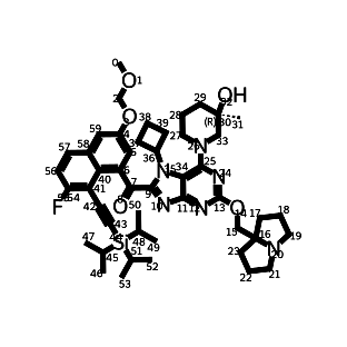 COCOc1cc(C(=O)c2nc3nc(OCC45CCCN4CCC5)nc(N4CCC[C@@](C)(O)C4)c3n2C2CCC2)c2c(C#C[Si](C(C)C)(C(C)C)C(C)C)c(F)ccc2c1